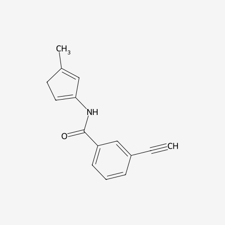 C#Cc1cccc(C(=O)NC2=CCC(C)=C2)c1